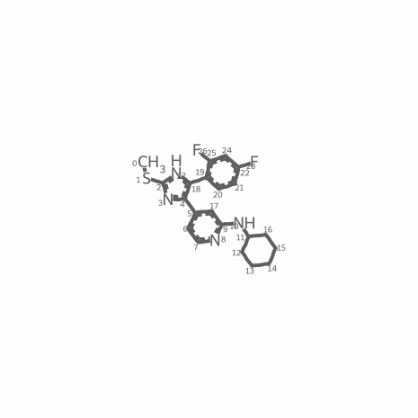 CSc1nc(-c2ccnc(NC3CCCCC3)c2)c(-c2ccc(F)cc2F)[nH]1